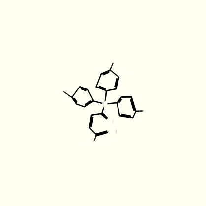 C=C(/C=C\C(=C)C(F)(F)F)[B-](c1ccc(C(F)(F)F)cc1)(c1ccc(C(F)(F)F)cc1)c1ccc(C(F)(F)F)cc1